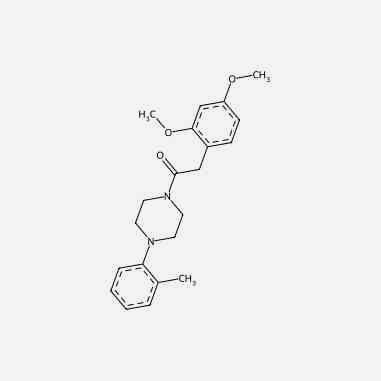 COc1ccc(CC(=O)N2CCN(c3ccccc3C)CC2)c(OC)c1